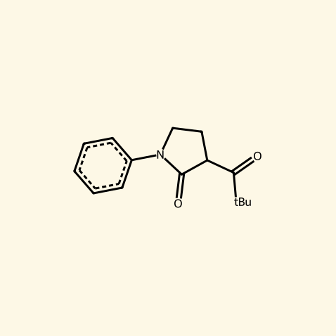 CC(C)(C)C(=O)C1CCN(c2ccccc2)C1=O